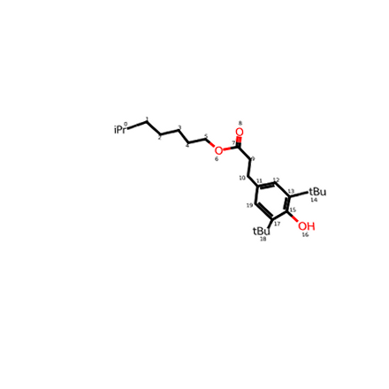 CC(C)CCCCCOC(=O)CCc1cc(C(C)(C)C)c(O)c(C(C)(C)C)c1